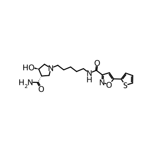 NC(=O)[C@H]1CN(CCCCCNC(=O)c2cc(-c3cccs3)on2)C[C@@H]1O